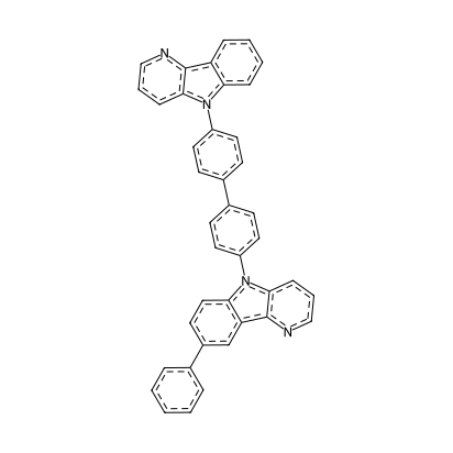 c1ccc(-c2ccc3c(c2)c2ncccc2n3-c2ccc(-c3ccc(-n4c5ccccc5c5ncccc54)cc3)cc2)cc1